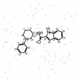 O=C(N[C@H]1CCCN(c2ccccc2)C1)c1cc2ccccc2[nH]1